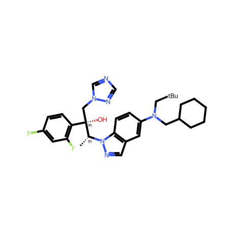 C[C@@H](n1ncc2cc(N(CC3CCCCC3)CC(C)(C)C)ccc21)[C@](O)(Cn1cncn1)c1ccc(F)cc1F